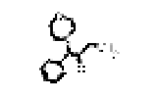 CCC(=O)C(c1ccccc1)N1CCOCC1